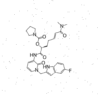 CN(C)C(=O)/C=C/CC[C@H](OC(=O)N1CCCC1)C(=O)Nc1cccn(Cc2cc3cc(F)ccc3[nH]2)c1=O